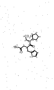 CC(C)(C)C(=O)CC(Cc1cccs1)C(=O)N(CC(=O)O)C1CCCC1